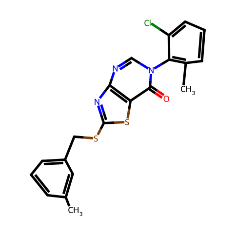 Cc1cccc(CSc2nc3ncn(-c4c(C)cccc4Cl)c(=O)c3s2)c1